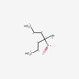 CCCC(CCC(=O)O)(CCC(=O)O)P=O